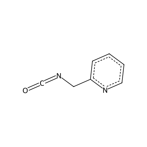 O=C=NCc1ccccn1